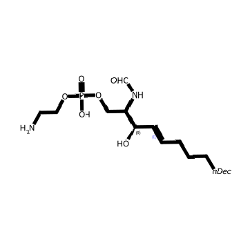 CCCCCCCCCCCCC/C=C/[C@@H](O)C(COP(=O)(O)OCCN)NC=O